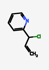 C=CC(Cl)c1ccccn1